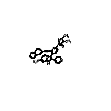 CNC(C)C(=O)Nc1ccc(C2=C(c3ccncc3)NC3C=C(C)C=CN23)c(C#Cc2ccc3ncccc3c2)n1